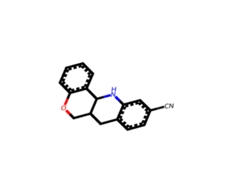 N#Cc1ccc2c(c1)NC1c3ccccc3OCC1C2